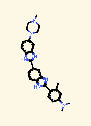 Cc1cc(N(C)C)ccc1-c1nc2cc(-c3nc4cc(N5CCN(C)CC5)ccc4[nH]3)ccc2[nH]1